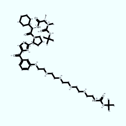 C[C@@H](C(=O)N[C@H](C(=O)N1CCC[C@H]1c1nc(C(=O)c2cccc(OCCOCCOCCOCCOCCNC(=O)OC(C)(C)C)c2)cs1)C1CCCCC1)N(C)C(=O)OC(C)(C)C